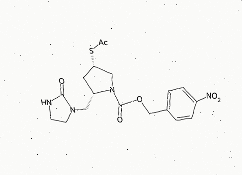 CC(=O)S[C@H]1C[C@@H](CN2CCNC2=O)N(C(=O)OCc2ccc([N+](=O)[O-])cc2)C1